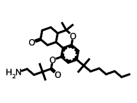 CCCCCCC(C)(C)c1cc(OC(=O)C(C)(C)CCN)c2c(c1)OC(C)(C)C1CCC(=O)CC21